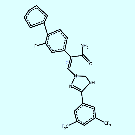 NC(=O)/C(=C\N1CNC(c2cc(C(F)(F)F)cc(C(F)(F)F)c2)=N1)c1ccc(-c2ccccc2)c(F)c1